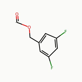 O=[C]OCc1cc(F)cc(F)c1